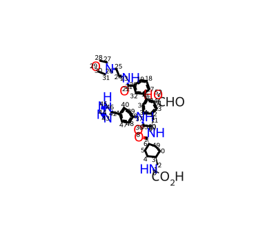 O=C(O)NC[C@H]1CC[C@H](C(=O)N[C@@H](Cc2ccc(-c3cccc(C(=O)NCCN4CCOCC4)c3)cc2)C(=O)Nc2ccc(-c3nnn[nH]3)cc2)CC1.O=CO